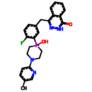 N#Cc1ccc(N2CC[P](O)(c3cc(Cc4n[nH]c(=O)c5ccccc45)ccc3F)CC2)nc1